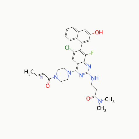 C/C=C/C(=O)N1CCN(c2nc(NCCC(=O)N(C)C)nc3c(F)c(-c4cc(O)cc5ccccc45)c(Cl)cc23)CC1